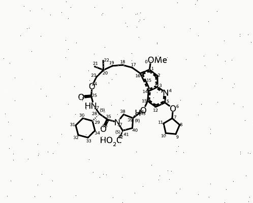 COc1cc2nc(OC3CCCC3)cc3c2cc1CCCC(C)(C)COC(=O)N[C@@H](C1CCCCC1)C(=O)N1C[C@@H](C[C@H]1C(=O)O)O3